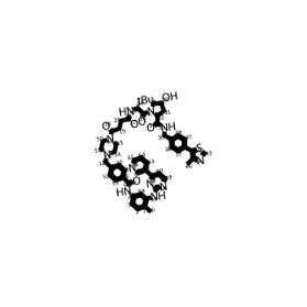 Cc1ccc(NC(=O)c2ccc(CN3CCN(C(=O)CCC(=O)N[C@H](C(=O)N4CC(O)CC4C(=O)NCc4ccc(-c5scnc5C)cc4)C(C)(C)C)CC3)cc2)cc1Nc1nccc(-c2cccnc2)n1